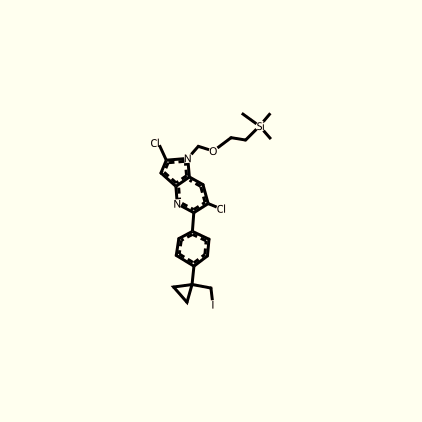 C[Si](C)(C)CCOCn1c(Cl)cc2nc(-c3ccc(C4(CI)CC4)cc3)c(Cl)cc21